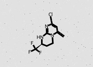 C=C1C=C(Cl)N=C2N[C@H](C(F)(F)F)CCN12